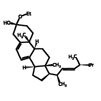 CCO[C@]1(O)CC[C@@]2(C)C(=CC=C3[C@@H]4CC[C@H]([C@H](C)C=C[C@H](C)C(C)C)[C@@]4(C)CC[C@@H]32)C1